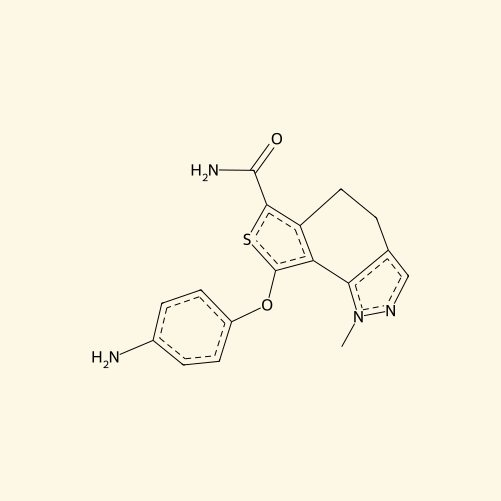 Cn1ncc2c1-c1c(Oc3ccc(N)cc3)sc(C(N)=O)c1CC2